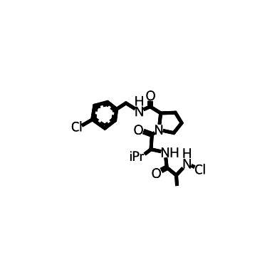 CC(NCl)C(=O)NC(C(=O)N1CCCC1C(=O)NCc1ccc(Cl)cc1)C(C)C